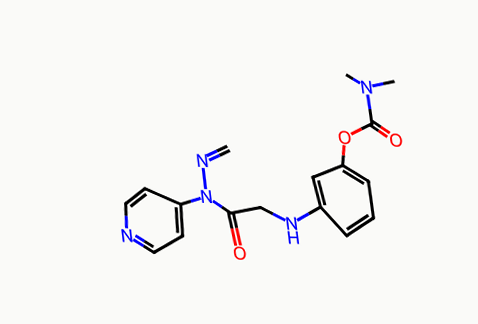 C=NN(C(=O)CNc1cccc(OC(=O)N(C)C)c1)c1ccncc1